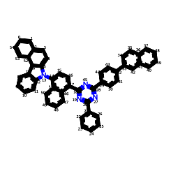 C1=CC2=CC=C3C(c4ccccc4N3c3ccc(-c4nc(-c5ccccc5)nc(-c5ccc(-c6ccc7ccccc7c6)cc5)n4)c4ccccc34)C2C=C1